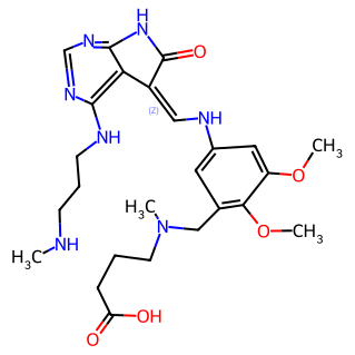 CNCCCNc1ncnc2c1/C(=C/Nc1cc(CN(C)CCCC(=O)O)c(OC)c(OC)c1)C(=O)N2